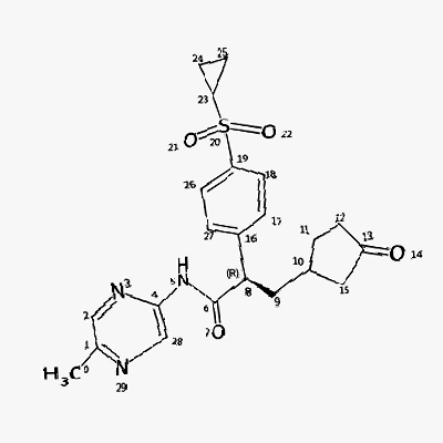 Cc1cnc(NC(=O)[C@H](CC2CCC(=O)C2)c2ccc(S(=O)(=O)C3CC3)cc2)cn1